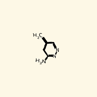 C=C1C=NN=C(N)C1